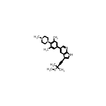 COC(C)(C)C#Cc1c[nH]c2ncc(-c3cc(C)c(N4CCN(C)CC4)c(C)c3)cc12